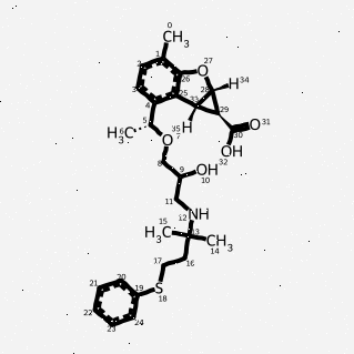 Cc1ccc([C@@H](C)OCC(O)CNC(C)(C)CCSc2ccccc2)c2c1O[C@@H]1[C@@H](C(=O)O)[C@H]21